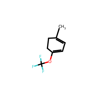 CC1=CC=C(OC(F)(F)F)CC1